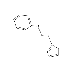 C1=CCC(CCOc2ccccc2)=C1